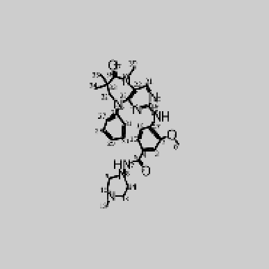 COc1cc(C(=O)NN2CCN(C)CC2)ccc1Nc1ncc2c(n1)N(c1ccccc1)CC(C)(C)C(=O)N2C